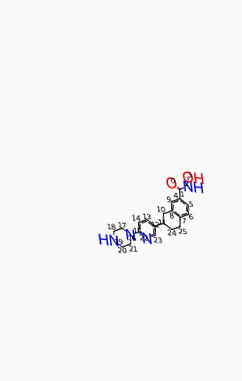 O=C(NO)c1ccc2c(c1)CC(c1ccc(N3CCNCC3)nc1)CC2